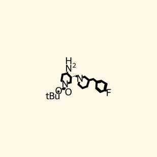 CC(C)(C)OC(=O)N1CC[C@@H](N)[C@H](CN2CCCC(Cc3ccc(F)cc3)C2)C1